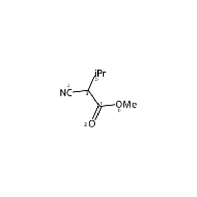 COC(=O)C(C#N)C(C)C